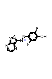 Oc1cc(F)c(/N=N/c2snc3nccnc23)cc1F